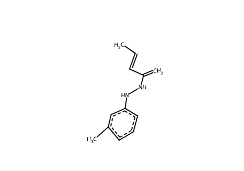 C=C(/C=C/C)NNc1cccc(C)c1